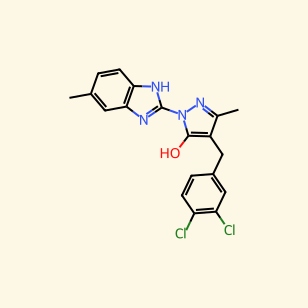 Cc1ccc2[nH]c(-n3nc(C)c(Cc4ccc(Cl)c(Cl)c4)c3O)nc2c1